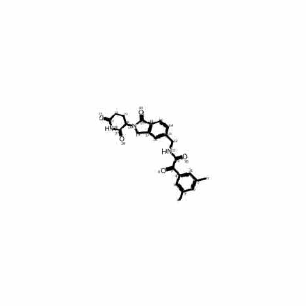 Cc1cc(C)cc(C(=O)C(=O)NCc2ccc3c(c2)CN(C2CCC(=O)NC2=O)C3=O)c1